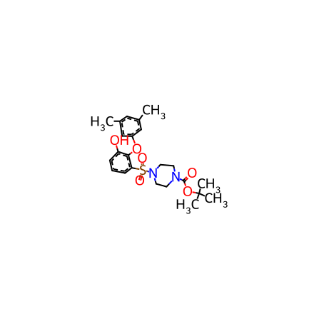 Cc1cc(C)cc(Oc2c(O)cccc2S(=O)(=O)N2CCN(C(=O)OC(C)(C)C)CC2)c1